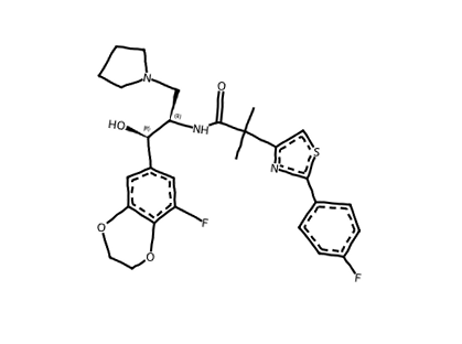 CC(C)(C(=O)N[C@H](CN1CCCC1)[C@H](O)c1cc(F)c2c(c1)OCCO2)c1csc(-c2ccc(F)cc2)n1